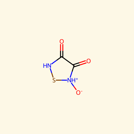 O=C1NS[NH+]([O-])C1=O